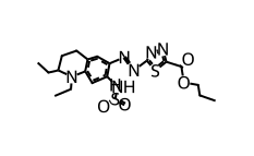 CCCOC(=O)c1nnc(N=Nc2cc3c(cc2N[SH](=O)=O)N(CC)C(CC)CC3)s1